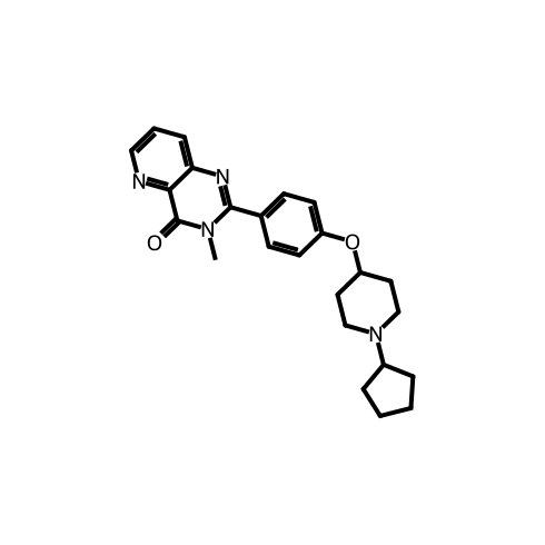 Cn1c(-c2ccc(OC3CCN(C4CCCC4)CC3)cc2)nc2cccnc2c1=O